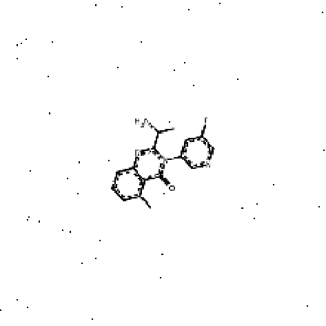 Cc1cccc2nc(C(C)N)n(-c3cncc(F)c3)c(=O)c12